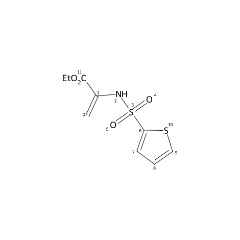 C=C(NS(=O)(=O)c1cccs1)C(=O)OCC